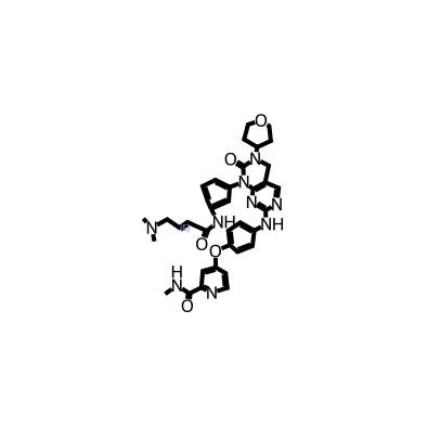 CNC(=O)c1cc(Oc2ccc(Nc3ncc4c(n3)N(c3cccc(NC(=O)/C=C/CN(C)C)c3)C(=O)N(C3CCOCC3)C4)cc2)ccn1